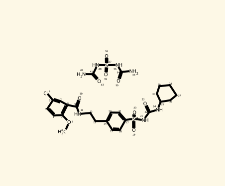 COc1ccc(Cl)cc1C(=O)NCCc1ccc(S(=O)(=O)NC(=O)NC2CCCCC2)cc1.NC(=O)NS(=O)(=O)NC(N)=O